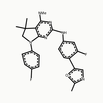 CNc1nc(Nc2ccc(-c3cnc(C)o3)c(F)c2)nc2c1C(C)(C)CN2c1ccc(F)cc1